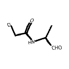 CC(C=O)NC(=O)CCl